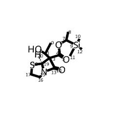 CC(O)C1(C(=O)OC(C)[Si](C)(C)C)C(=O)N2CCS[C@H]21